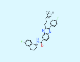 C[C@@H](CCCc1nc2cc(C(=O)N[C@@H]3CCCc4cc(F)ccc43)ccc2nc1-c1ccc(F)cc1)C(=O)O